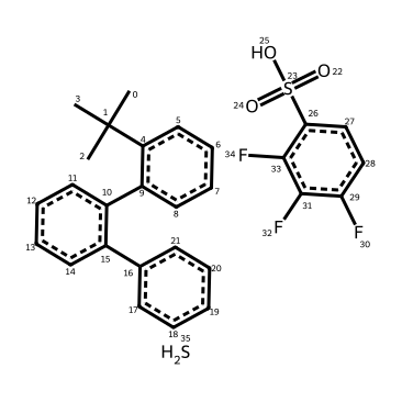 CC(C)(C)c1ccccc1-c1ccccc1-c1ccccc1.O=S(=O)(O)c1ccc(F)c(F)c1F.S